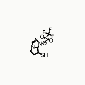 O=S(=O)(ON1N=CN2CCC(S)C21)C(F)(F)F